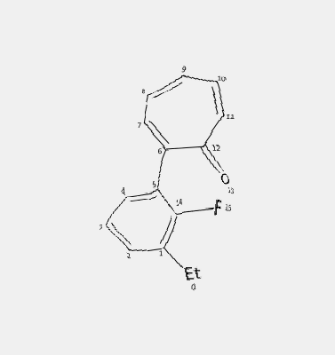 CCc1cccc(-c2cccccc2=O)c1F